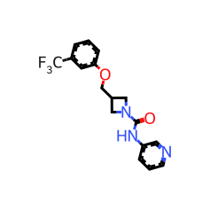 O=C(Nc1cccnc1)N1CC(COc2cccc(C(F)(F)F)c2)C1